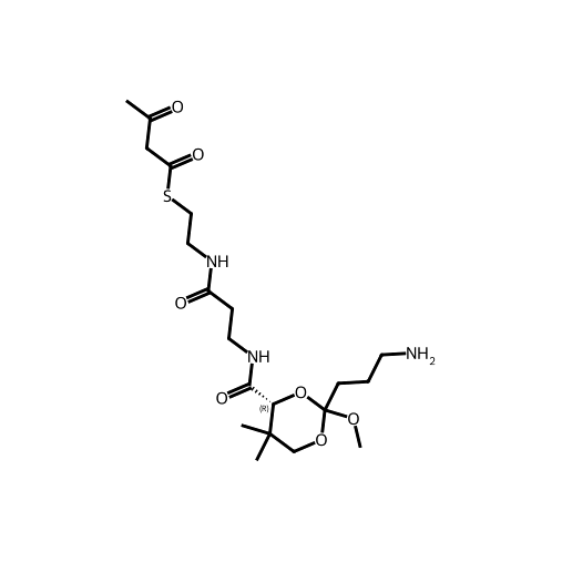 COC1(CCCN)OCC(C)(C)[C@H](C(=O)NCCC(=O)NCCSC(=O)CC(C)=O)O1